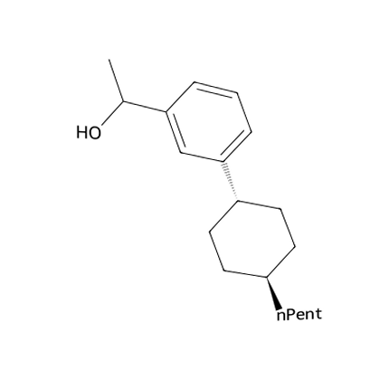 CCCCC[C@H]1CC[C@H](c2cccc(C(C)O)c2)CC1